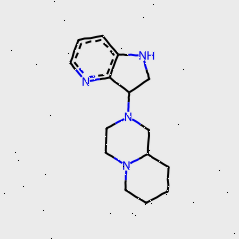 c1cnc2c(c1)NCC2N1CCN2CCCCC2C1